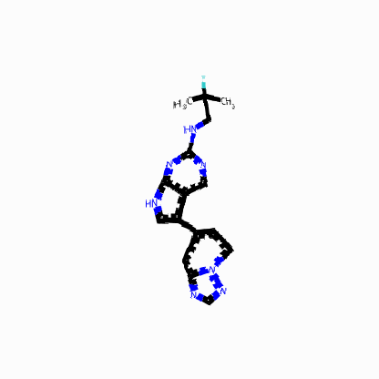 CC(C)(F)CNc1ncc2c(-c3ccn4ncnc4c3)c[nH]c2n1